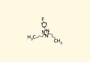 CCCCc1nc(CCCC)nc(-c2ccc(F)cc2)n1